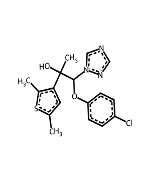 Cc1cc(C(C)(O)C(Oc2ccc(Cl)cc2)n2cncn2)c(C)s1